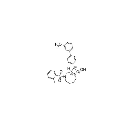 Cc1ccccc1S(=O)(=O)N1CCCCN2[C@H](O)[C@@H](c3ccc(-c4cccc(C(F)(F)F)c4)cc3)[C@@H]2C1